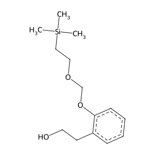 C[Si](C)(C)CCOCOc1ccccc1CCO